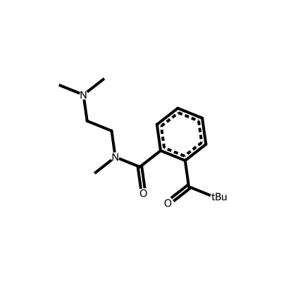 CN(C)CCN(C)C(=O)c1ccccc1C(=O)C(C)(C)C